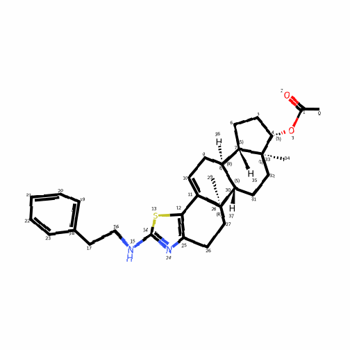 CC(=O)O[C@H]1CC[C@H]2[C@@H]3CC=C4c5sc(NCCc6ccccc6)nc5CC[C@]4(C)[C@H]3CC[C@]12C